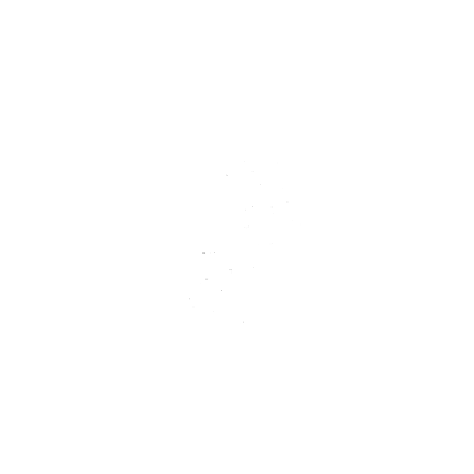 CCC(C)OC(C1CCC(C(O)(C(F)(F)F)C(F)(F)F)CC1)(C(F)(F)F)C(F)(F)F